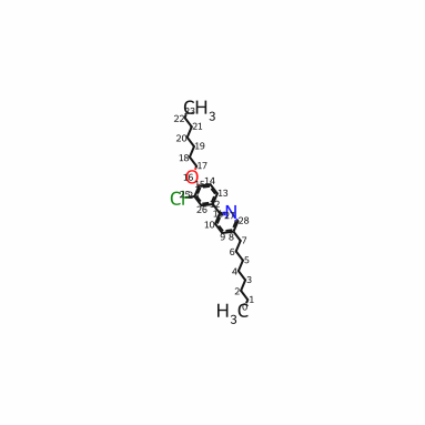 CCCCCCCCc1ccc(-c2ccc(OCCCCCCC)c(Cl)c2)nc1